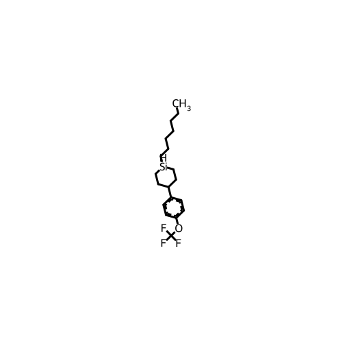 CCCCCCC[SiH]1CCC(c2ccc(OC(F)(F)F)cc2)CC1